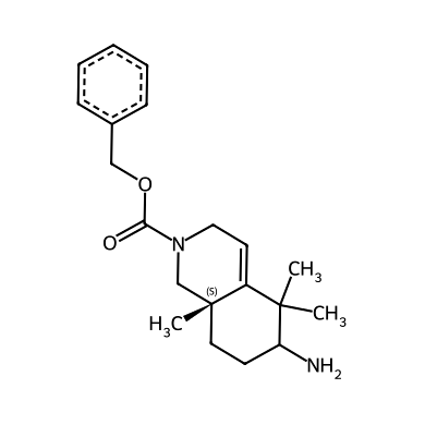 CC1(C)C2=CCN(C(=O)OCc3ccccc3)C[C@@]2(C)CCC1N